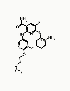 COCCOc1ncc(Nc2nc(N[C@@H]3CCCC[C@@H]3N)c(F)cc2C(N)=O)cc1F